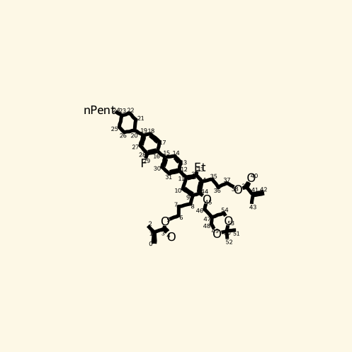 C=C(C)C(=O)OCCCc1cc(-c2ccc(-c3ccc(C4CCC(CCCCC)CC4)cc3F)cc2)c(CC)c(CCCOC(=O)C(=C)C)c1OCC1COC(C)(C)OC1